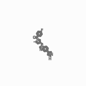 C[C@H]1C[C@H](Cn2cnc3cc(-c4cn[nH]c4)ccc32)CN1C(=O)c1ccc(F)cc1